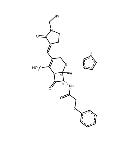 CC(C)CN1CC/C(=C\C2=C(C(=O)O)N3C(=O)[C@@H](NC(=O)CSc4ccccc4)[C@H]3SC2)C1=O.c1c[nH]cn1